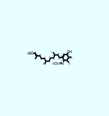 CCCC/C=C(\C)CCCC(C)CCCC(C)CCC1=CC(O)C(C)C(C)C1OCCCCCCCC